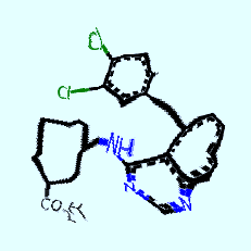 O=C(O)C1CCCC(Nc2ncnc3cccc(-c4ccc(Cl)c(Cl)c4)c23)C1